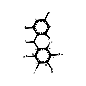 C[C](c1c(C)cc(C)cc1C)c1c(F)c(F)c(F)c(F)c1F